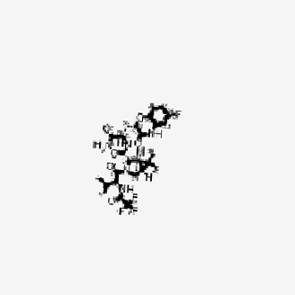 CC(C)[C@H](NC(=O)C(F)(F)F)C(=O)N1C[C@H]2[C@@H]([C@H]1C(=O)N[C@@H](C[C@@H]1Oc3ccc(F)cc3NC1=O)C(N)=O)C2(C)C